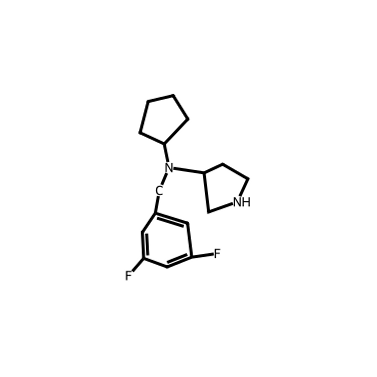 Fc1cc(F)cc(CN(C2CCCC2)C2CCNC2)c1